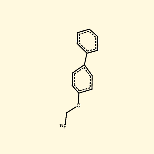 [18F]COc1ccc(-c2ccccc2)cc1